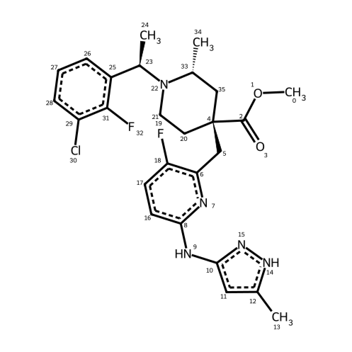 COC(=O)[C@]1(Cc2nc(Nc3cc(C)[nH]n3)ccc2F)CCN([C@H](C)c2cccc(Cl)c2F)[C@H](C)C1